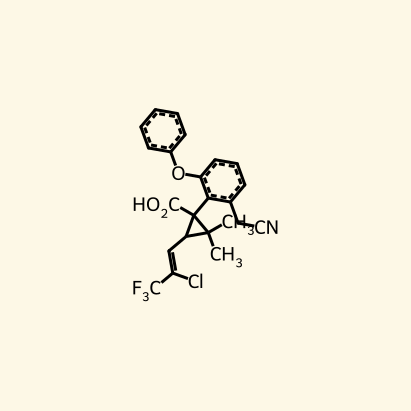 CC1(C)C(C=C(Cl)C(F)(F)F)C1(C(=O)O)c1c(CC#N)cccc1Oc1ccccc1